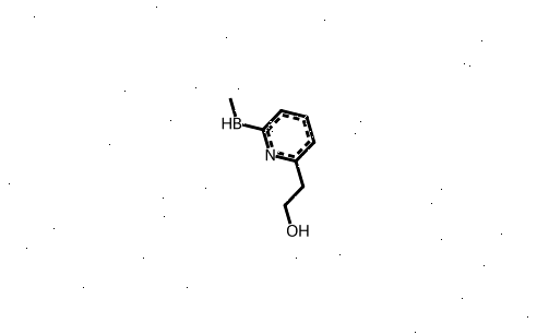 CBc1cccc(CCO)n1